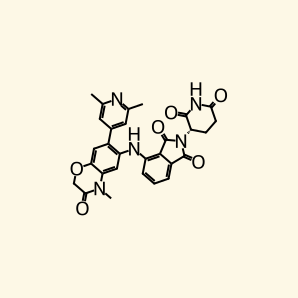 Cc1cc(-c2cc3c(cc2Nc2cccc4c2C(=O)N([C@H]2CCC(=O)NC2=O)C4=O)N(C)C(=O)CO3)cc(C)n1